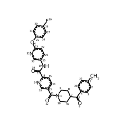 Cc1ccc(C(=O)C2CCN(C(=O)c3ccc(C(=O)Nc4ccc(Oc5ccc(F)cc5)nc4)nc3)CC2)cc1